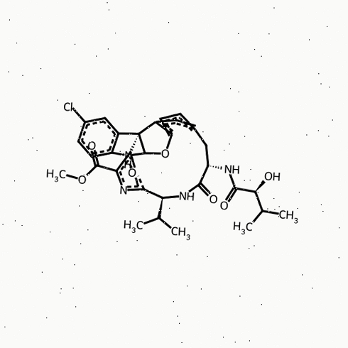 COC(=O)c1nc2oc1[C@@]13c4cc(Cl)ccc4NC1Oc1ccc(cc13)C[C@H](NC(=O)[C@@H](O)C(C)C)C(=O)N[C@H]2C(C)C